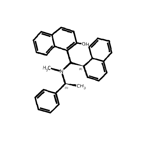 C[C@@H](c1ccccc1)N(C)C(c1c(O)ccc2ccccc12)[C@@H]1C=CC=C2C=CC=CC21